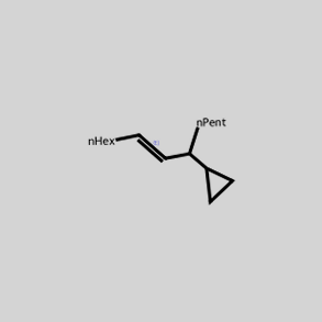 CCCCCC/C=C/C(CCCCC)C1CC1